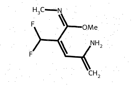 C=C(N)/C=C(\C(=N/C)OC)C(F)F